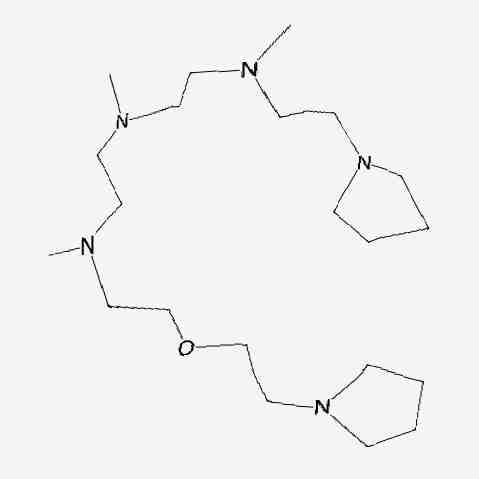 CN(CCOCCN1CCCC1)CCN(C)CCN(C)CCN1CCCC1